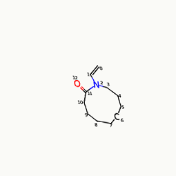 C=CN1CCCCCCCCC1=O